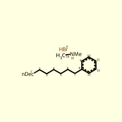 Br.CCCCCCCCCCCCCCCCc1ccccc1.CNC